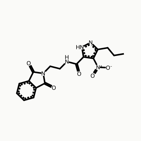 CCCc1n[nH]c(C(=O)NCCN2C(=O)c3ccccc3C2=O)c1[N+](=O)[O-]